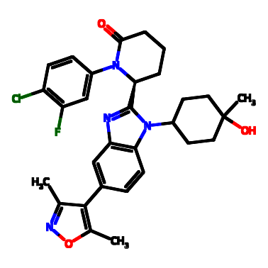 Cc1noc(C)c1-c1ccc2c(c1)nc([C@@H]1CCCC(=O)N1c1ccc(Cl)c(F)c1)n2C1CCC(C)(O)CC1